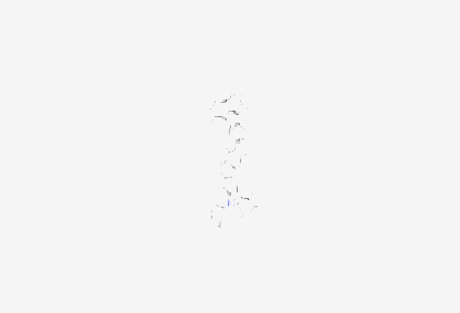 c1ccc(-n2c3ccccc3c3cc(-c4ccc(-c5ccc6c(c5)-c5cccc7cccc-6c57)cc4)ccc32)cc1